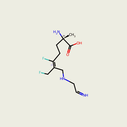 C[C@](N)(CC/C(F)=C(/CF)CNCC=N)C(=O)O